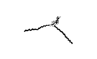 CCCCCCCCCCCCCCCCC=COCC(COP(=O)(O)OCC[N+](C)(C)C)OC=CCCCCCCCCCCCCCCCC